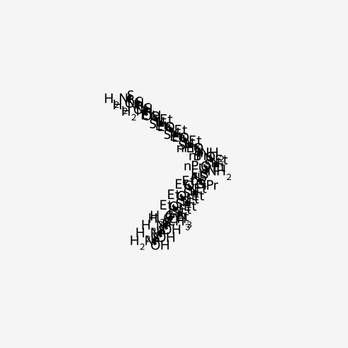 CC.CC.CCCOC(=S)N(CC)CC.CCCOC(N)=S.CCCOC(N)=S.CCN(CC)C(=S)OC(C)C.CCOC(=S)N(CC)CC.CCOC(=S)N(CC)CC.CCOC(=S)N(CC)CC.CCOC(=S)N(CC)CC.CCOC(=S)N(CC)CC.CCOC(=S)N(CC)CC.NC(O)=S.NC(O)=S.NC(O)=S.NC(O)=S.NC(O)=S.NC(O)=S